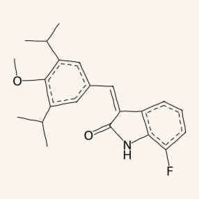 COc1c(C(C)C)cc(C=C2C(=O)Nc3c(F)cccc32)cc1C(C)C